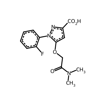 CN(C)C(=O)COc1cc(C(=O)O)nn1-c1ccccc1F